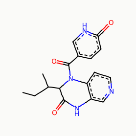 CCC(C)C1C(=O)Nc2cnccc2N1C(=O)c1ccc(=O)[nH]c1